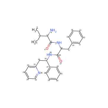 CC(C)C(N)C(=O)NC(Cc1ccccc1)C(=O)NC(Cc1ccccn1)c1ccccc1